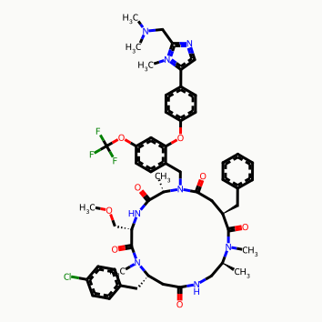 COC[C@@H]1NC(=O)[C@H](C)N(Cc2ccc(OC(F)(F)F)cc2Oc2ccc(-c3cnc(CN(C)C)n3C)cc2)C(=O)C[C@@H](Cc2ccccc2)C(=O)N(C)[C@@H](C)CNC(=O)C[C@H](Cc2ccc(Cl)cc2)N(C)C1=O